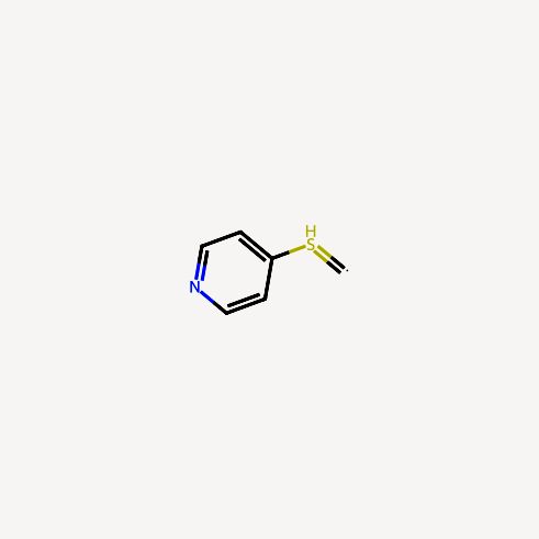 [CH]=[SH]c1ccncc1